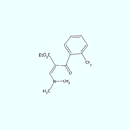 CCOC(=O)/C(=C/N(C)C)C(=O)c1ccccc1C(F)(F)F